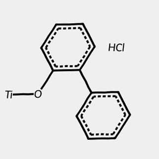 Cl.[Ti][O]c1ccccc1-c1ccccc1